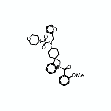 COc1ccccc1C(=O)NC[C@]1(c2ccccc2)CC[C@@H](N(Cc2ccco2)S(=O)(=O)N2CCOCC2)CC1